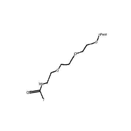 CCCCCOCCOCCOCCNC(=O)I